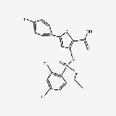 CCOP(=O)(Nc1cc(-c2ccc(Cl)cc2)sc1C(=O)O)c1ccc(Cl)cc1Cl